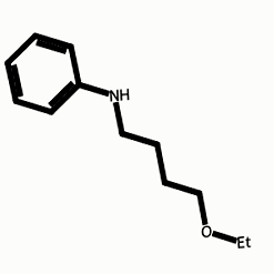 CCOCCCCNc1ccccc1